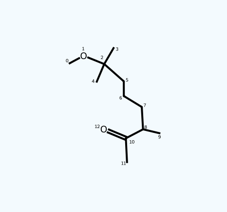 COC(C)(C)CCCC(C)C(C)=O